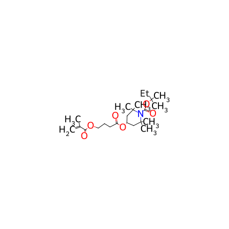 C=C(C)C(=O)OCCCC(=O)OC1CC(C)(C)N(C(=O)OC(C)(C)CC)C(C)(C)C1